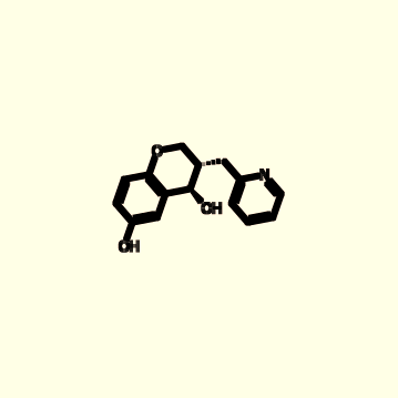 Oc1ccc2c(c1)[C@H](O)[C@@H](Cc1ccccn1)CO2